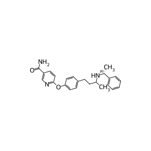 CC(CCc1ccc(Oc2ccc(C(N)=O)cn2)cc1)N[C@H](C)c1ccccc1